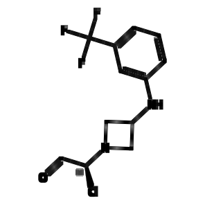 O=C[C@H](Cl)N1CC(Nc2cccc(C(F)(F)F)c2)C1